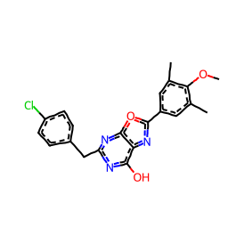 COc1c(C)cc(-c2nc3c(O)nc(Cc4ccc(Cl)cc4)nc3o2)cc1C